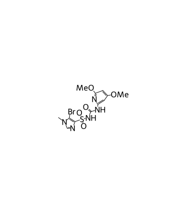 COc1cc(NC(=O)NS(=O)(=O)c2ncn(C)c2Br)nc(OC)c1